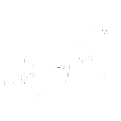 COC(=O)Cn1nc(C(=O)N[C@@H]2C[C@@H]3CN(C)C[C@H](C2)N3C)c2ccccc21